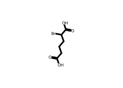 O=C(O)CCCC(Br)C(=O)O